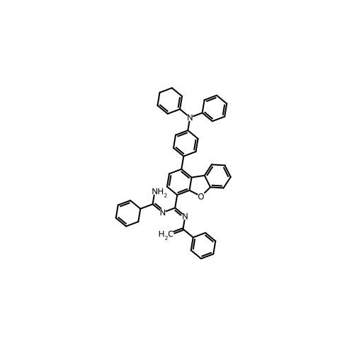 C=C(/N=C(\N=C(/N)C1C=CC=CC1)c1ccc(-c2ccc(N(C3=CCCC=C3)c3ccccc3)cc2)c2c1oc1ccccc12)c1ccccc1